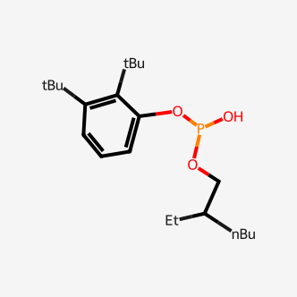 CCCCC(CC)COP(O)Oc1cccc(C(C)(C)C)c1C(C)(C)C